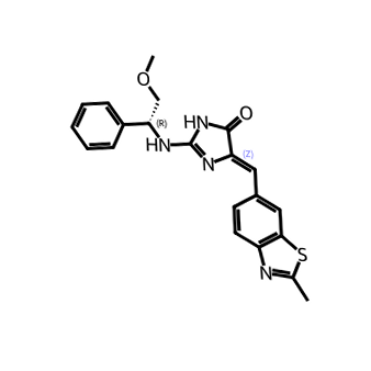 COC[C@H](NC1=N/C(=C\c2ccc3nc(C)sc3c2)C(=O)N1)c1ccccc1